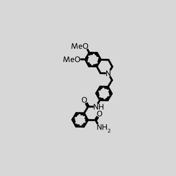 COc1cc2c(cc1OC)CN(Cc1ccc(NC(=O)c3ccccc3C(N)=O)cc1)CC2